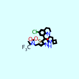 O=C1OCC(C(F)(F)F)N1Cc1cc2nccc(-c3cc(Cl)cc4c3N(C3CNC5(CCC5)C3)CCC4)c2s1